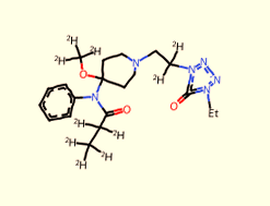 [2H]C([2H])([2H])OC1(N(C(=O)C([2H])([2H])C([2H])([2H])[2H])c2ccccc2)CCN(CC([2H])([2H])n2nnn(CC)c2=O)CC1